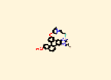 Cc1nc2cc(C3=C(c4ccc(O[C@H]5CCN(CCCF)C5)cc4)c4ccc(O)cc4CCC3)ccc2[nH]1